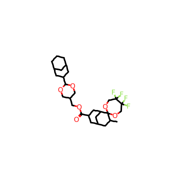 CC1CC2CC(C(=O)OCC3COC(C4CC5CCCC(C5)C4)OC3)CC(C2)C12OCC(F)(F)C(F)(F)CO2